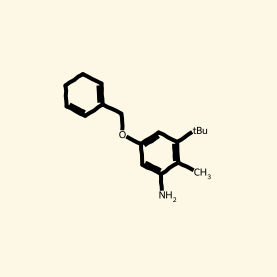 Cc1c(N)cc(OCC2=CCCC=C2)cc1C(C)(C)C